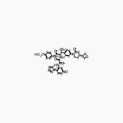 CC(C)(C)C(c1ccc(N2CCN(C3COC3)CC2=O)cc1)C(NC(=O)C(=O)Nc1cc(Cl)ccc1-n1cnnn1)C(=O)Nc1ccc(C(=O)O)cc1